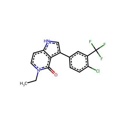 CCn1ccc2[nH]cc(-c3ccc(Cl)c(C(F)(F)F)c3)c2c1=O